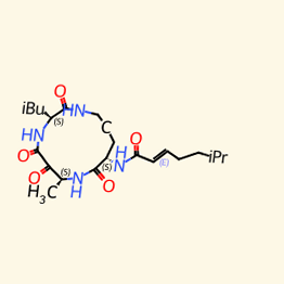 CCC(C)[C@@H]1NC(=O)C(=O)[C@H](C)NC(=O)[C@@H](NC(=O)/C=C/CCC(C)C)CCCNC1=O